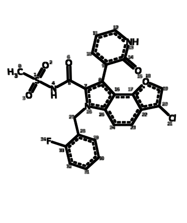 CS(=O)(=O)NC(=O)c1c(-c2ccc[nH]c2=O)c2c3occ(Cl)c3ccc2n1Cc1ccccc1F